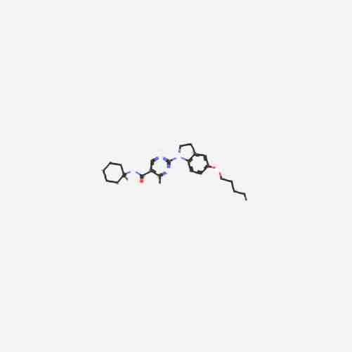 N#CCCCCOc1ccc2c(c1)CCN2c1ncc(C(=O)NC2(C(=O)O)CCCCC2)c(C(F)(F)F)n1